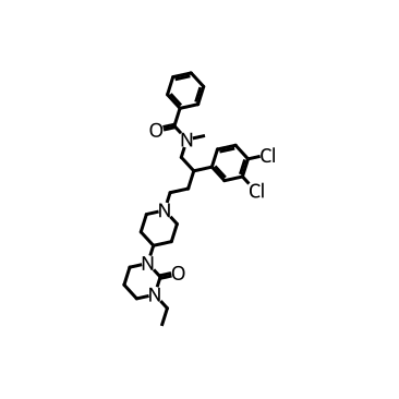 CCN1CCCN(C2CCN(CCC(CN(C)C(=O)c3ccccc3)c3ccc(Cl)c(Cl)c3)CC2)C1=O